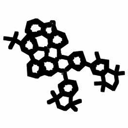 Cc1cc2c3c(c1)N(c1ccc(C(C)(C)C)cc1-c1ccccc1)c1c(ccc4oc5ccccc5c14)B3c1ccc(-c3cc4c(cc3C)C(C)(C)CCC4(C)C)cc1N2c1ccc2c(c1)C(C)(C)CCC2(C)C